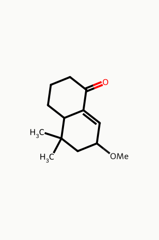 COC1C=C2C(=O)CCCC2C(C)(C)C1